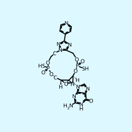 Nc1nc2c(ncn2[C@@H]2O[C@@H]3COP(=O)(S)OCCn4nc(-c5ccncc5)nc4COP(=O)(S)O[C@@H]2[C@@H]3F)c(=O)[nH]1